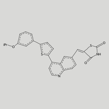 CC(C)Oc1cccc(-c2ccc(-c3ccnc4ccc(C=C5SC(=O)NC5=O)cc34)s2)c1